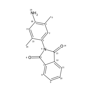 Cc1cc(N2C(=O)c3ccccc3C2=O)c(C)cc1N